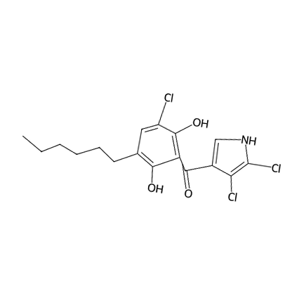 CCCCCCc1cc(Cl)c(O)c(C(=O)c2c[nH]c(Cl)c2Cl)c1O